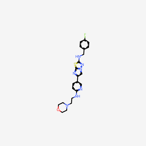 Fc1ccc(CNc2nn3cc(-c4ccc(NCCN5CCOCC5)nc4)nc3s2)cc1